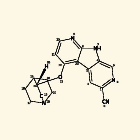 N#Cc1cc2c(cn1)[nH]c1nccc(O[C@@H]3CN4CCC3CC4)c12